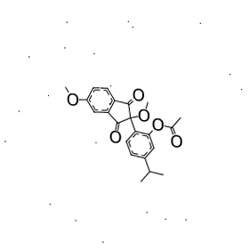 COc1ccc2c(c1)C(=O)C(OC)(c1ccc(C(C)C)cc1OC(C)=O)C2=O